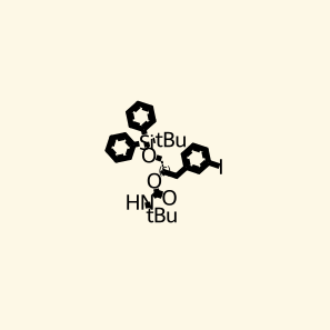 CC(C)(C)NC(=O)O[C@H](CO[Si](c1ccccc1)(c1ccccc1)C(C)(C)C)Cc1cccc(I)c1